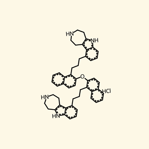 Cl.c1ccc2c(CCCc3cccc4[nH]c5c(c34)CCNCC5)c(Oc3ccc4ccccc4c3CCCc3cccc4[nH]c5c(c34)CCNCC5)ccc2c1